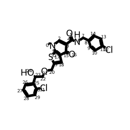 Cn1cc(C(=O)NCc2ccc(Cl)cc2)c(=O)c2cc(COC[C@H](O)c3ccccc3Cl)sc21